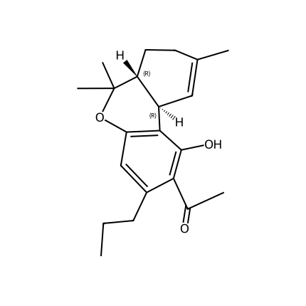 CCCc1cc2c(c(O)c1C(C)=O)[C@@H]1C=C(C)CC[C@H]1C(C)(C)O2